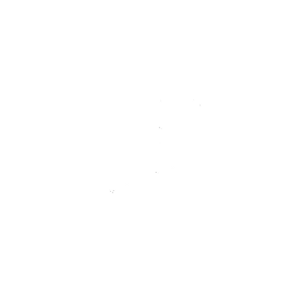 Cc1nc(C(C)C)ccc1C(=O)N1CCC(NC2CC2)CC1